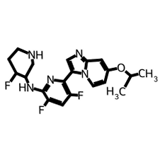 CC(C)Oc1ccn2c(-c3nc(NC4CNCCC4F)c(F)cc3F)cnc2c1